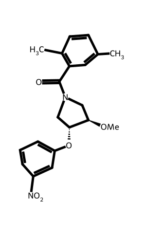 CO[C@@H]1CN(C(=O)c2cc(C)ccc2C)C[C@H]1Oc1cccc([N+](=O)[O-])c1